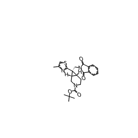 Cc1csc([C@@]2(CN3C(=O)c4ccccc4C3=O)[C@@H]3CCN(C(=O)OC(C)(C)C)C[C@@H]32)n1